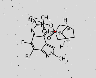 Cn1cc2c(n1)c(Br)c(F)c1nc(Cl)nc(N3C[C@H]4CC[C@@H](C3)N4C(=O)OC(C)(C)C)c12